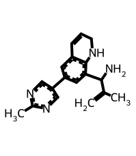 C=C(C)C(N)c1cc(-c2cnc(C)nc2)cc2c1NCC=C2